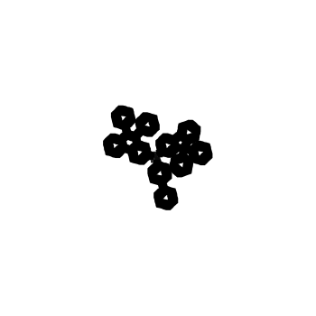 c1ccc(-c2ccc(N(c3ccc4c(c3)C(c3ccccc3)(c3ccccc3)c3ccccc3-4)c3ccc4c(c3)c(-c3ccccc3)c(-c3ccccc3)c3ccccc34)cc2)cc1